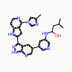 Cc1cn(-c2nccc3[nH]c(-c4n[nH]c5ncc(-c6cncc(NC(O)CC(C)C)c6)cc45)cc23)cn1